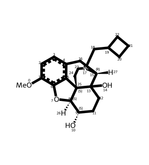 COc1ccc2c3c1O[C@@H]1[C@@H](O)CCC4(O)[C@@H](C2)N(CC2CCC2)CC[C@]314